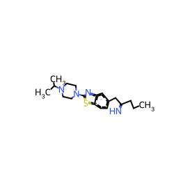 CCCC(=N)Cc1ccc2sc(N3CCN(C(C)C)CC3)nc2c1